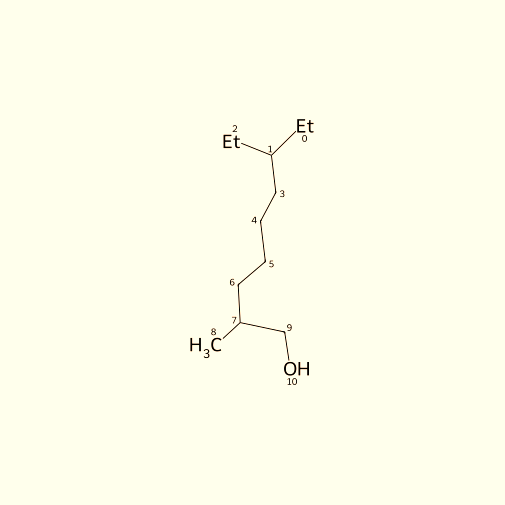 CCC(CC)CCCCC(C)CO